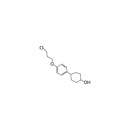 OC1CCC(c2ccc(OCCCCl)cc2)CC1